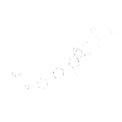 NCC1CN(Cc2ccc(-c3ccc(-c4cc5nc(OC6COC7C(O)COC67)[nH]c5cc4Cl)cc3)cc2)C1